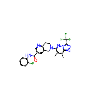 Cc1c(N2CCc3ncc(C(=O)Nc4ccccc4F)cc3C2)nn2c(C(F)(F)F)nnc2c1C